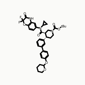 CC(C)(C)OC(=O)N1CC[C@H](c2cccc(-c3ccc(OC4CCCCO4)cc3)c2)[C@@H](C(=O)N(c2ccc3c(c2)NC(=O)C(F)(F)O3)C2CC2)C1